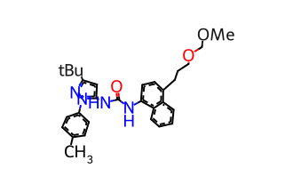 COCOCCCc1ccc(NC(=O)Nc2cc(C(C)(C)C)nn2-c2ccc(C)cc2)c2ccccc12